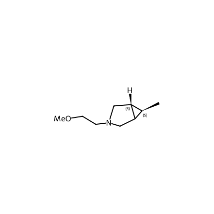 COCCN1CC2[C@H](C)[C@H]2C1